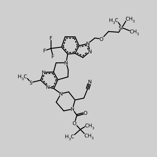 CSc1nc2c(c(N3CCN(C(=O)OC(C)(C)C)C(CC#N)C3)n1)CCN(c1c(C(F)(F)F)ccc3c1cnn3COCC[Si](C)(C)C)C2